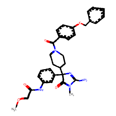 COCC(=O)Nc1cccc(C2(C3CCN(C(=O)c4ccc(OCc5ccccc5)cc4)CC3)N=C(N)N(C)C2=O)c1